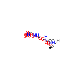 O=C(CCC(NC(=O)OCC1c2ccccc2-c2ccccc21)C(=O)O)NCCCOCCOCCOCCCNC(=O)COc1cccc2c1C(=O)N(C1CCCOOC1)C2=O